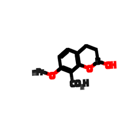 CCCOc1ccc2c(c1C(=O)O)OB(O)CC2